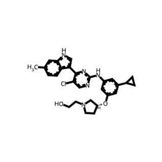 Cc1ccc2c(-c3nc(Nc4cc(O[C@@H]5CCN(CCO)C5)cc(C5CC5)c4)ncc3Cl)c[nH]c2c1